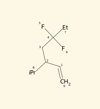 C=CC(CC(F)(F)CC)C(C)C